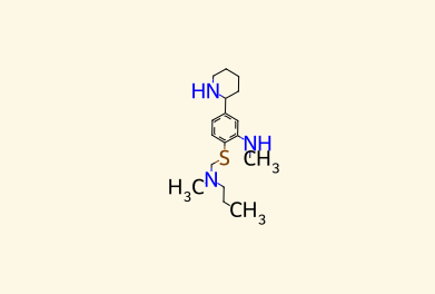 CCCN(C)CSc1ccc(C2CCCCN2)cc1NC